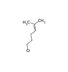 CC(C)=CCCC[O]